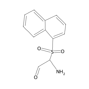 NC(C=O)S(=O)(=O)c1cccc2ccccc12